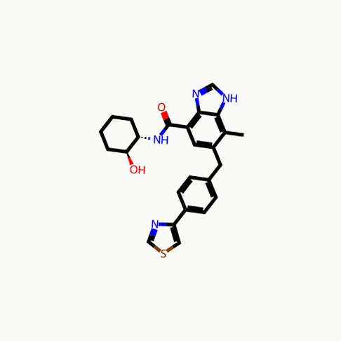 Cc1c(Cc2ccc(-c3cscn3)cc2)cc(C(=O)N[C@H]2CCCC[C@@H]2O)c2nc[nH]c12